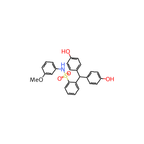 COc1cccc(NS(=O)(=O)c2ccccc2C(c2ccc(O)cc2)c2ccc(O)cc2)c1